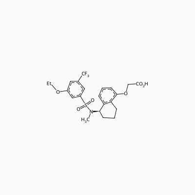 CCOc1cc(C(F)(F)F)cc(S(=O)(=O)N(C)[C@@H]2CCCc3c(OCC(=O)O)cccc32)c1